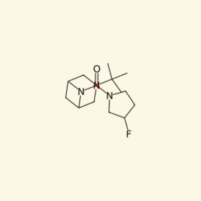 CC(C)(C)N1CC2CC(C1)N2C(=O)N1CCC(F)C1